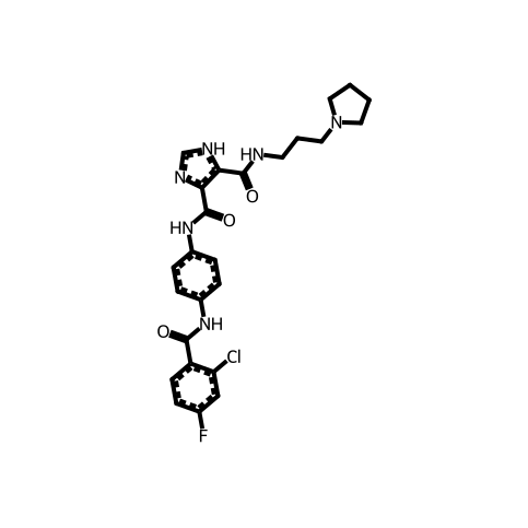 O=C(Nc1ccc(NC(=O)c2nc[nH]c2C(=O)NCCCN2CCCC2)cc1)c1ccc(F)cc1Cl